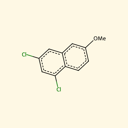 COc1ccc2c(Cl)cc(Cl)cc2c1